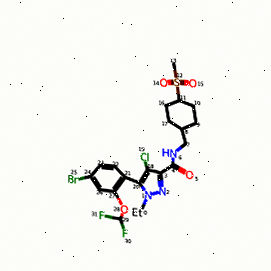 CCn1nc(C(=O)NCC2CCC(S(C)(=O)=O)CC2)c(Cl)c1-c1ccc(Br)cc1OC(F)F